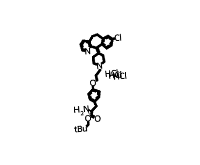 CC(C)(C)COC(=O)[C@@H](N)Cc1ccc(OCCCN2CCC(=C3c4ccc(Cl)cc4CCc4cccnc43)CC2)cc1.Cl.Cl.Cl